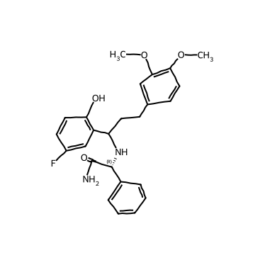 COc1ccc(CCC(N[C@@H](C(N)=O)c2ccccc2)c2cc(F)ccc2O)cc1OC